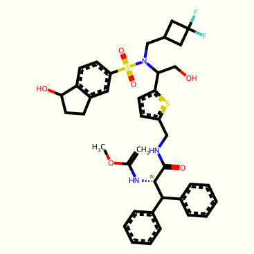 C=C(N[C@H](C(=O)NCc1ccc(C(CO)N(CC2CC(F)(F)C2)S(=O)(=O)c2ccc3c(c2)CCC3O)s1)C(c1ccccc1)c1ccccc1)OC